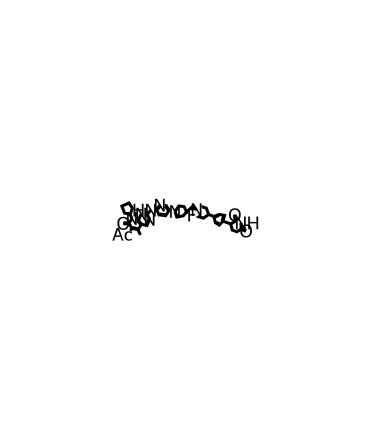 CC(=O)c1c(C)c2cnc(Nc3ccc(N4CCC(F)(CN5CCC(c6ccc(C7CCC(=O)NC7=O)cc6)CC5)CC4)cn3)nc2n(C2CCCC2)c1=O